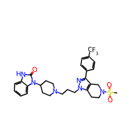 CS(=O)(=O)N1CCc2c(c(-c3ccc(C(F)(F)F)cc3)nn2CCCN2CCC(n3c(=O)[nH]c4ccccc43)CC2)C1